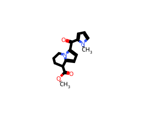 COC(=O)C1CCCn2c(C(=O)c3cccn3C)ccc21